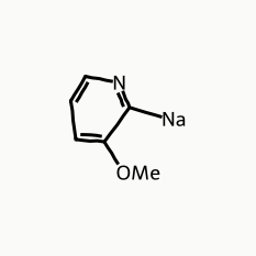 COc1cccn[c]1[Na]